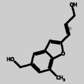 Cc1cc(CO)cc2cc(/C=C/CO)oc12